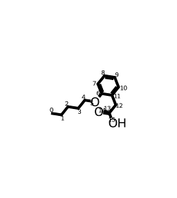 CCCCCOc1ccccc1CC(=O)O